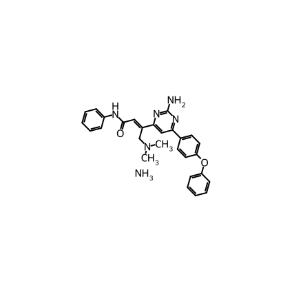 CN(C)C/C(=C\C(=O)Nc1ccccc1)c1cc(-c2ccc(Oc3ccccc3)cc2)nc(N)n1.N